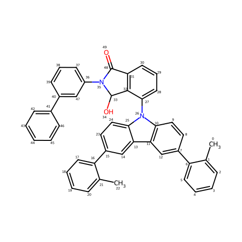 Cc1ccccc1-c1ccc2c(c1)c1cc(-c3ccccc3C)ccc1n2-c1cccc2c1C(O)N(c1cccc(-c3ccccc3)c1)C2=O